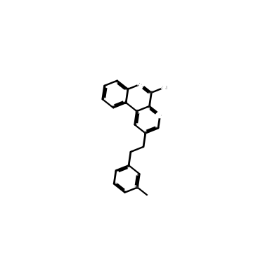 Cc1cccc(CCc2cnc3c(N)nc4ccccc4c3c2)c1